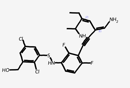 CC/C(=C/C(C#Cc1c(F)ccc(NSc2cc(Cl)cc(CO)c2Cl)c1F)=C\N)C(C)N